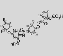 CCCOc1nc(Oc2ccc(F)cc2F)nc2oc(-c3cc(C)c(OCC(=O)N4CCC[C@@H]4OC(=O)O)c(C)c3)nc12